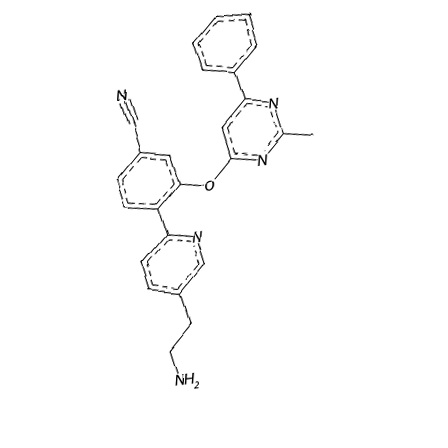 Cc1nc(Oc2cc(C#N)ccc2-c2ccc(CCN)cn2)cc(-c2ccccc2)n1